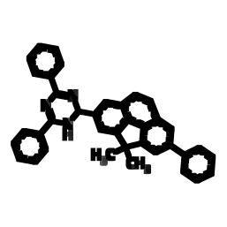 CC1(C)c2cc(-c3ccccc3)cc3ccc4cc(C5N=C(c6ccccc6)N=C(c6ccccc6)N5)cc1c4c23